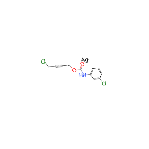 O=C(Nc1cccc(Cl)c1)OCC#CCCl.[Ag]